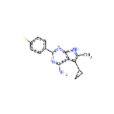 Cc1[nH]c2nc(-c3ccc(F)cc3)nc(N)c2c1C1CC1